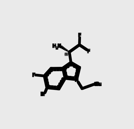 CC(C)(C)Cn1cc([C@H](N)C(F)F)c2cc(F)c(Br)cc21